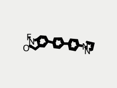 O=C1Cc2cc(-c3ccc(-c4ccc(-n5cccn5)cc4)cc3)ccc2N1F